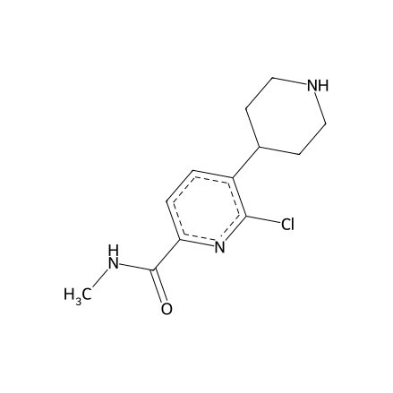 CNC(=O)c1ccc(C2CCNCC2)c(Cl)n1